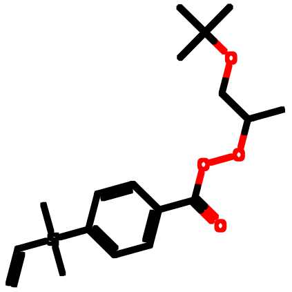 C=C[Si](C)(C)c1ccc(C(=O)OO[C](C)COC(C)(C)C)cc1